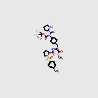 COC(=O)[C@H](Cc1ccc(N(C(=O)OC(C)(C)C)C(=O)[C@@H]2CCCN2)cc1)NC(=O)[C@@H]1CCCN1S(=O)(=O)c1ccc(C)cc1